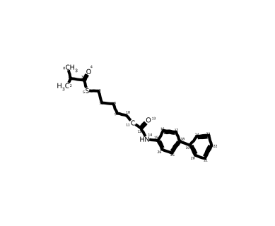 CC(C)C(=O)SCCCCCCC(=O)Nc1ccc(-c2ccccc2)cc1